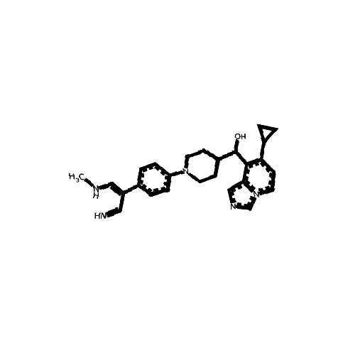 CN/C=C(\C=N)c1ccc(N2CCC(C(O)c3c(C4CC4)ccn4cncc34)CC2)cc1